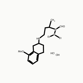 CCN(CC)N(C=O)C(C)CCNC1CCc2cccc(OC)c2C1.Cl.Cl